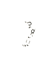 Cc1cc2nn(CC(=O)N3CCN(C(=O)C(C)(C)CO)CC3)cc2cc1NC(=O)c1cccc(C(F)(F)F)n1